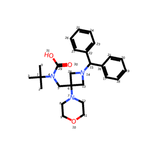 CC(C)(C)N(CC1(N2CCOCC2)CN(C(c2ccccc2)c2ccccc2)C1)C(=O)O